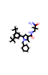 CC1=C(C(=O)NCC(C)(C)C(N)=O)CC(c2cc(C(C)(C)C)cc(C(C)(C)C)c2)N1CC1CCCCC1